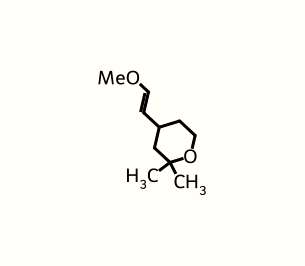 COC=CC1CCOC(C)(C)C1